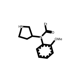 CCC(=O)N(c1ccccc1OC)C1CCNC1